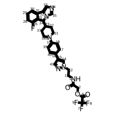 O=C(COC(=O)C(F)(F)F)NCCn1cc(-c2ccc(N3CCC(C4c5c(F)cccc5-c5cncn54)CC3)cc2)cn1